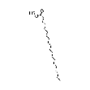 CCCCCCCCCCCCCCCCCCCC(=O)OS